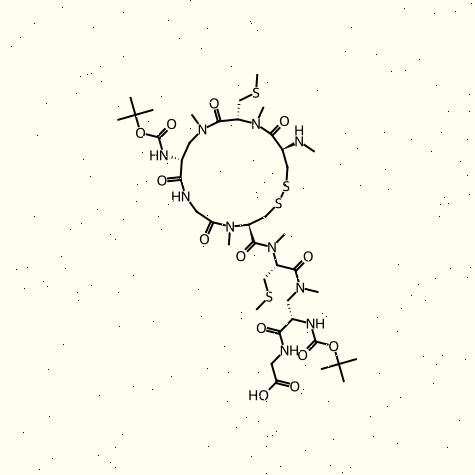 CN[C@H]1CSSC[C@@H](C(=O)N(C)[C@@H](CSC)C(=O)N(C)C[C@H](NC(=O)OC(C)(C)C)C(=O)NCC(=O)O)N(C)C(=O)CNC(=O)[C@H](NC(=O)OC(C)(C)C)CN(C)C(=O)[C@H](CSC)N(C)C1=O